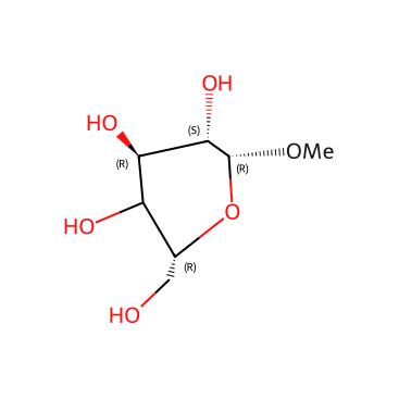 CO[C@@H]1O[C@H](CO)C(O)[C@@H](O)[C@@H]1O